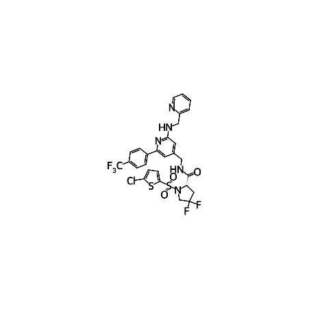 O=C(NCc1cc(NCc2ccccn2)nc(-c2ccc(C(F)(F)F)cc2)c1)[C@@H]1CC(F)(F)CN1S(=O)(=O)c1ccc(Cl)s1